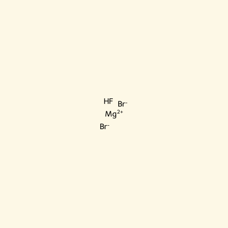 F.[Br-].[Br-].[Mg+2]